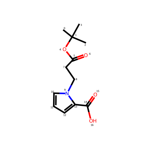 CC(C)(C)OC(=O)CCn1cccc1C(=O)O